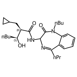 CCCC[C@H](O)[C@@H](CC1CC1)C(=O)NC1N=C(CCC)c2ccccc2N(CCCC)C1=O